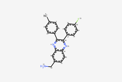 N#Cc1ccc(-c2nc3cc(CN)ccc3nc2-c2ccc(F)cc2)cc1